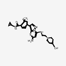 Cc1cc(-c2cnn3c(NCCN4CCC(O)CC4)cc(N)nc23)ccc1C(=O)NC1CC1